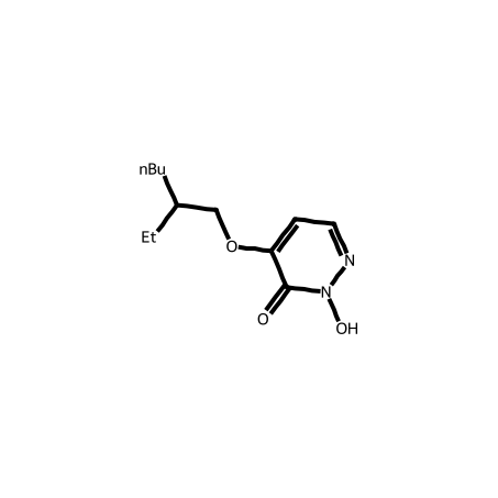 CCCCC(CC)COc1ccnn(O)c1=O